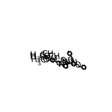 Cc1cc(C2CCN(c3cccc4c(-c5ccc(OCc6ccccc6)nc5OCc5ccccc5)nn(C)c34)CC2)ccc1B1OC(C)(C)C(C)(C)O1